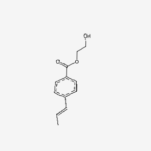 CC=Cc1ccc(C(=O)OCCO)cc1